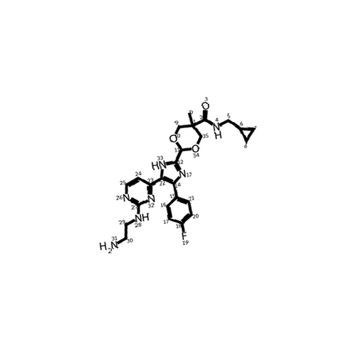 CC1(C(=O)NCC2CC2)COC(c2nc(-c3ccc(F)cc3)c(-c3ccnc(NCCN)n3)[nH]2)OC1